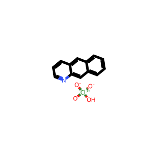 [O-][Cl+3]([O-])([O-])O.c1ccc2cc3ncccc3cc2c1